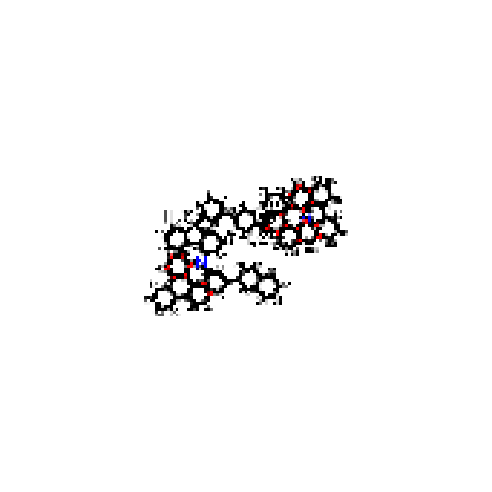 CC1(c2ccc(-c3cccc(C4(C)c5ccccc5-c5c(N(c6cccc(-c7ccc8ccccc8c7)c6)c6ccccc6-c6ccccc6-c6ccccc6-c6ccccc6)cccc54)c3)cc2)C2=C(CCC=C2)c2c(N(c3ccccc3-c3ccccc3)c3ccccc3-c3ccccc3-c3ccccc3-c3ccccc3)cccc21